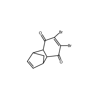 O=C1C(Br)=C(Br)C(=O)C2C3C=CC(C3)C12